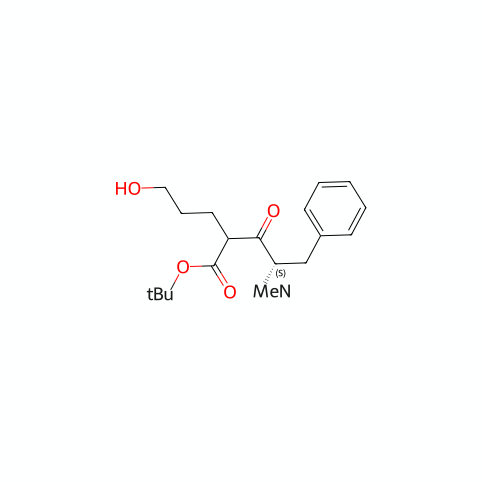 CN[C@@H](Cc1ccccc1)C(=O)C(CCCO)C(=O)OC(C)(C)C